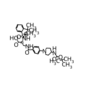 CC(C)(C)OC(=O)NC1CCN(c2ccc(C(=O)NC[C@H](NS(=O)(=O)c3ccccc3C(C)(C)C)C(=O)O)cc2)CC1